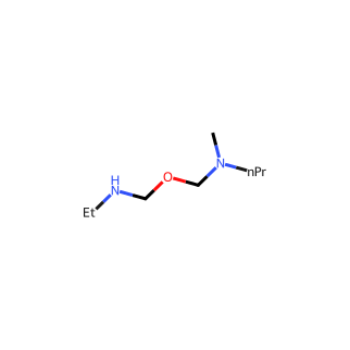 CCCN(C)COCNCC